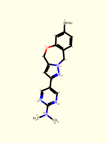 CC(=O)Nc1ccc2c(c1)OCc1cc(-c3cnc(N(C)C)nc3)nn1C2